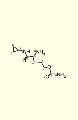 NC(=O)OCCC[C@H](N)C(=O)NC1CC1